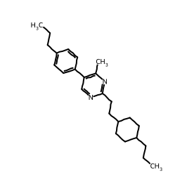 CCCc1ccc(-c2cnc(CCC3CCC(CCC)CC3)nc2C)cc1